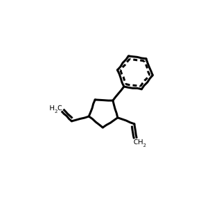 C=CC1CC(C=C)C(c2ccccc2)C1